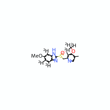 [2H]c1c(OC)c([2H])c2[nH]c([S+]([O-])Cc3ncc(C)c(OC([2H])([2H])[2H])c3C)nc2c1[2H]